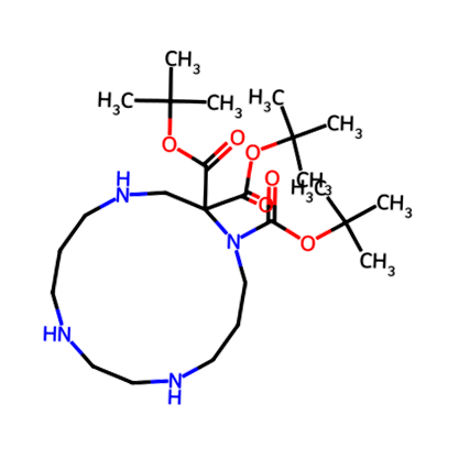 CC(C)(C)OC(=O)N1CCCNCCNCCCNCC1(C(=O)OC(C)(C)C)C(=O)OC(C)(C)C